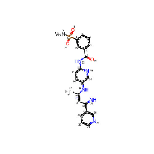 CNS(=O)(=O)c1cccc(C(=O)Nc2ccc(N/C(=C\C(=N)c3cccnc3)C(F)(F)F)cn2)c1